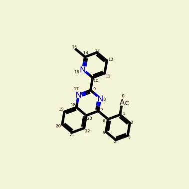 CC(=O)c1ccccc1-c1nc(-c2cccc(C)n2)nc2ccccc12